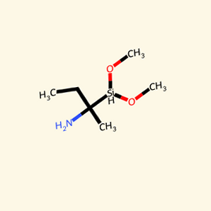 CCC(C)(N)[SiH](OC)OC